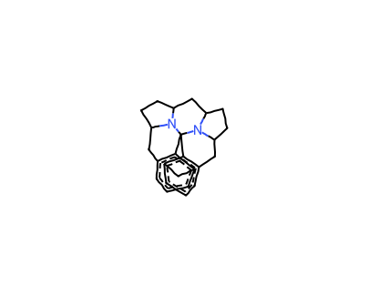 c1cc2c3c(c1)CC1CCC4CC5CCC6Cc7cccc(c7C3(N14)N65)C2